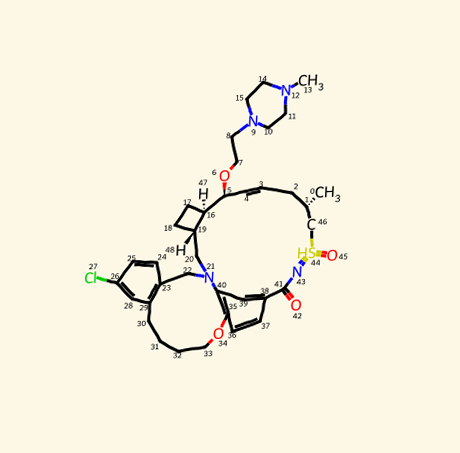 C[C@H]1C/C=C/[C@H](OCCN2CCN(C)CC2)[C@@H]2CC[C@H]2CN2Cc3ccc(Cl)cc3CCCCOc3ccc(cc32)C(=O)/N=[SH](=O)\C1